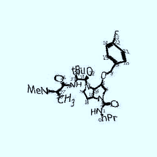 CCCNC(=O)N1CC(OCc2ccc(F)cc2)C2C1CCN2C(=O)C(NC(=O)C(C)NC)C(C)(C)C